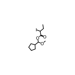 CCC(I)C(=O)OC(OC)C1CCCC1